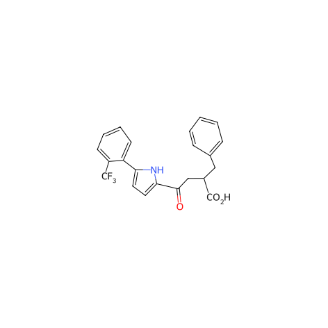 O=C(CC(Cc1ccccc1)C(=O)O)c1ccc(-c2ccccc2C(F)(F)F)[nH]1